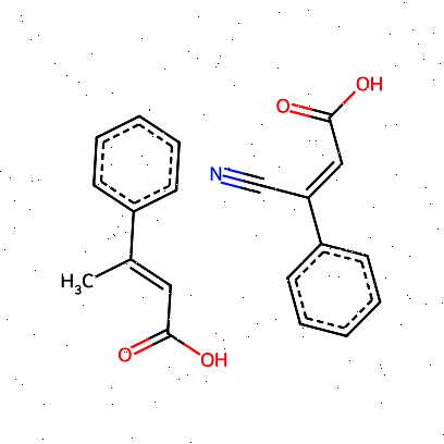 CC(=CC(=O)O)c1ccccc1.N#CC(=CC(=O)O)c1ccccc1